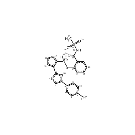 CC(C)c1ccc(-c2csc(-c3ccsc3N(C)Cc3ccccc3C(=O)NS(C)(=O)=O)n2)cc1